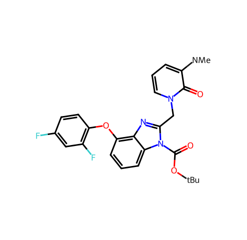 CNc1cccn(Cc2nc3c(Oc4ccc(F)cc4F)cccc3n2C(=O)OC(C)(C)C)c1=O